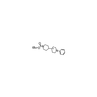 CC(C)(C)OC(=O)N1CCC(C2CCN(c3ccccc3)CC2)CC1